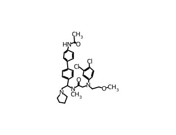 COCCN(CC(=O)N(C)C(CN1CCCC1)c1ccc(-c2ccc(NC(C)=O)cc2)cc1)c1ccc(Cl)c(Cl)c1